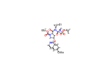 CCC1CC1N(C(=O)C1CC(Oc2nccc3cc(OC)ccc23)CN1C(=O)OC(C)(C)C)C(=O)N(C)S(=O)(=O)OC1CC1